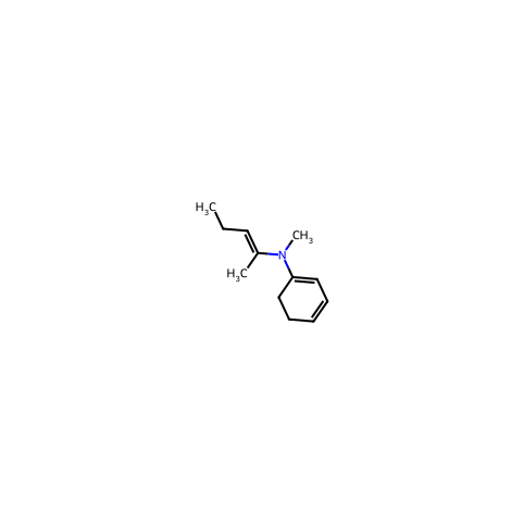 CC/C=C(\C)N(C)C1=CC=CCC1